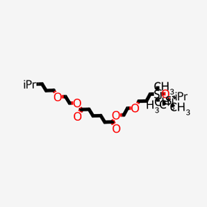 CC(C)CCCOCCOC(=O)CCCCC(=O)OCCOCCC[Si](C)(C)O[Si](C)(C)C(C)C